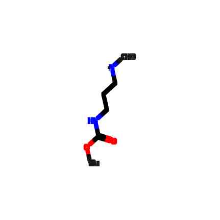 CC(C)(C)OC(=O)NCCC[N]C=O